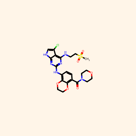 CS(=O)(=O)CCNc1nc(Nc2ccc(C(=O)N3CCOCC3)c3c2OCCO3)nc2[nH]cc(Cl)c12